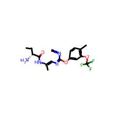 C=N/C(=N\C=C(/C)NC(=O)[C@H](N)CC)Oc1ccc(C)c(OC(F)(F)F)c1